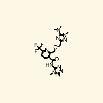 CN(C)c1nc(COCc2nc(C(F)(F)F)ccc2C(=O)Nc2nnnn2C)nn1C